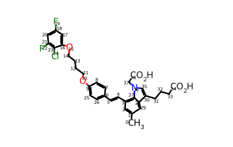 Cc1cc(C=Cc2ccc(OCCCCOc3cc(F)cc(F)c3Cl)cc2)c2c(c1)c(CCCC(=O)O)cn2CC(=O)O